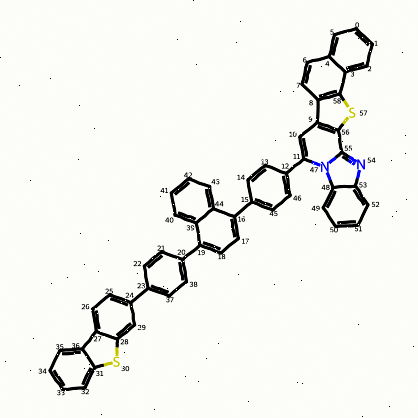 c1ccc2c(c1)ccc1c3cc(-c4ccc(-c5ccc(-c6ccc(-c7ccc8c(c7)sc7ccccc78)cc6)c6ccccc56)cc4)n4c5ccccc5nc4c3sc21